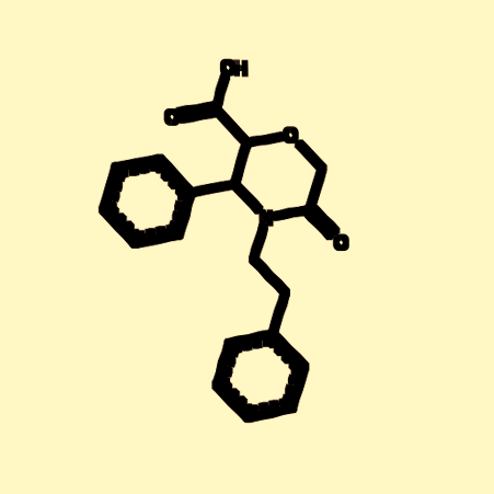 O=C(O)C1OCC(=O)N(CCc2ccccc2)C1c1ccccc1